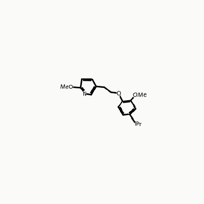 COc1ccc(CCOc2ccc(C(C)C)cc2OC)cn1